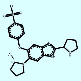 CCS(=O)(=O)c1ccc(Oc2cc3nc(C4CCCN4)[nH]c3cc2N2CCC[C@@H]2C(C)=O)cc1